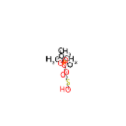 Cc1cc(C)c(C(=O)P(=O)(OCCOC(=O)CCSCCO)c2ccccc2)c(C)c1